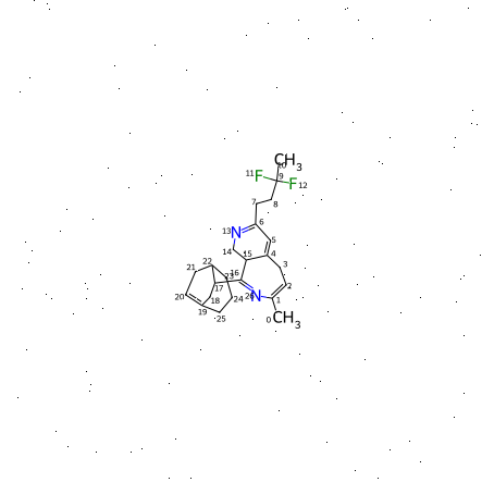 CC1=CCC2=CC(CCC(C)(F)F)=NCC2C(C2CC3=CCC2CCC3)=N1